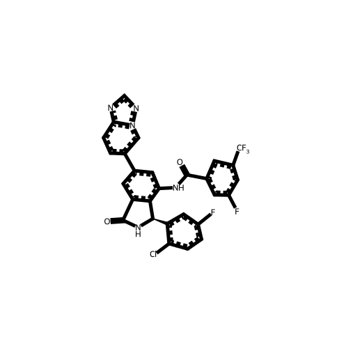 O=C(Nc1cc(-c2ccc3ncnn3c2)cc2c1[C@@H](c1cc(F)ccc1Cl)NC2=O)c1cc(F)cc(C(F)(F)F)c1